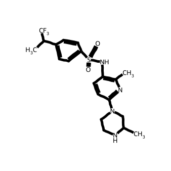 Cc1nc(N2CCNC(C)C2)ccc1NS(=O)(=O)c1ccc(C(C)C(F)(F)F)cc1